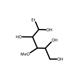 CCC(O)C(O)C(OC)C(O)CO